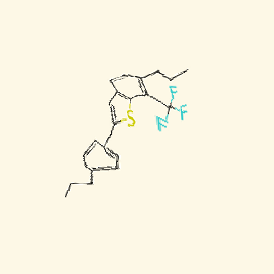 CCCc1ccc(-c2cc3ccc(CCC)c(C(F)(F)F)c3s2)cc1